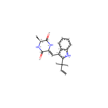 C=CC(C)(C)c1[nH]c2ccccc2c1/C=C1\NC(=O)[C@H](C)NC1=O